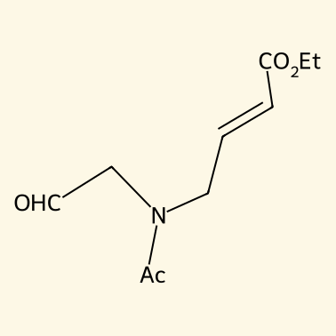 CCOC(=O)C=CCN(CC=O)C(C)=O